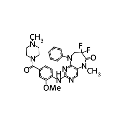 COc1cc(C(=O)N2CCN(C)CC2)ccc1Nc1ncc2c(n1)N(c1ccccc1)CC(F)(F)C(=O)N2C